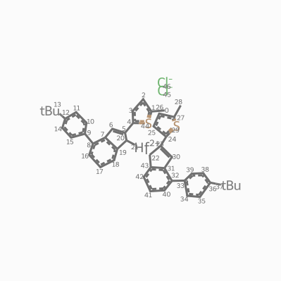 Cc1ccc(C2=Cc3c(-c4ccc(C(C)(C)C)cc4)cccc3[CH]2[Hf+2][CH]2C(c3ccc(C)s3)=Cc3c(-c4ccc(C(C)(C)C)cc4)cccc32)s1.[Cl-].[Cl-]